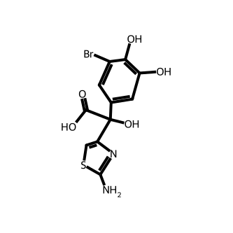 Nc1nc(C(O)(C(=O)O)c2cc(O)c(O)c(Br)c2)cs1